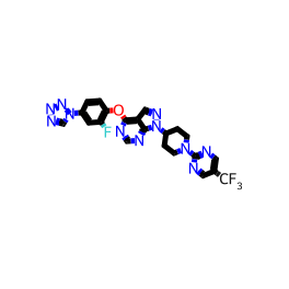 Fc1cc(-n2cnnn2)ccc1Oc1ncnc2c1cnn2C1CCN(c2ncc(C(F)(F)F)cn2)CC1